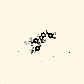 CNC(=O)c1ccc(-n2c(=O)c3c(n4ncc(NCc5ccc(OC(F)(F)F)cc5)c24)CN(C(=O)c2ccc(Br)c(Cl)c2)CC3)cc1